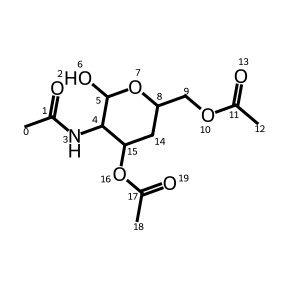 CC(=O)NC1C(O)OC(COC(C)=O)CC1OC(C)=O